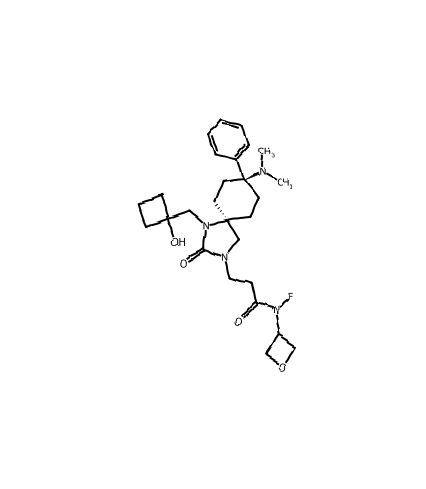 CN(C)[C@]1(c2ccccc2)CC[C@]2(CC1)CN(CCC(=O)N(F)C1COC1)C(=O)N2CC1(O)CCC1